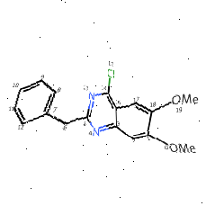 COc1cc2nc(Cc3ccccc3)nc(Cl)c2cc1OC